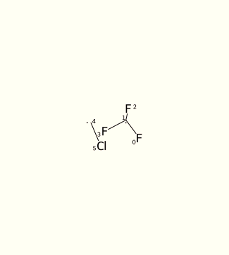 F[C](F)F.[CH2]Cl